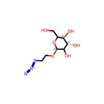 [N-]=[N+]=NCCO[C@H]1OC(CO)[C@@H](O)[C@H](O)C1O